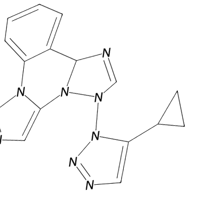 C1=NC2c3ccccc3-n3cncc3N2N1n1nncc1C1CC1